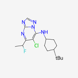 CC(F)c1nc2ncnn2c(NC2CCC(C(C)(C)C)CC2)c1Cl